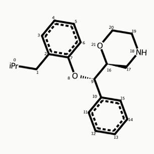 CC(C)Cc1ccccc1O[C@@H](c1ccccc1)[C@@H]1CNCCO1